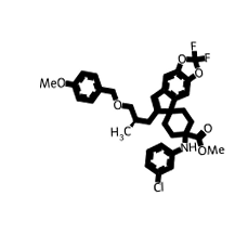 COC(=O)C1(Nc2cccc(Cl)c2)CCC2(CC1)C(C[C@@H](C)COCc1ccc(OC)cc1)=Cc1cc3c(cc12)OC(F)(F)O3